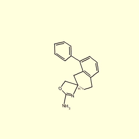 NC1=N[C@@]2(CCc3cccc(-c4ccccc4)c3C2)CO1